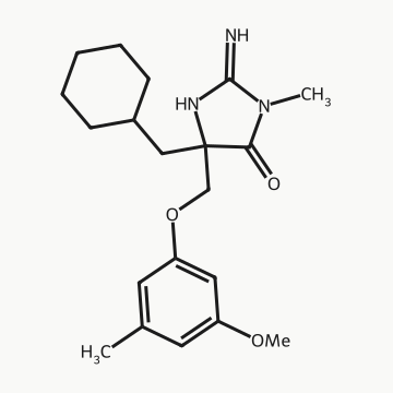 COc1cc(C)cc(OCC2(CC3CCCCC3)NC(=N)N(C)C2=O)c1